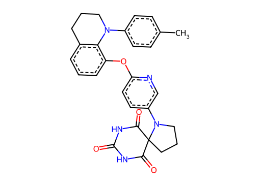 Cc1ccc(N2CCCc3cccc(Oc4ccc(N5CCCC56C(=O)NC(=O)NC6=O)cn4)c32)cc1